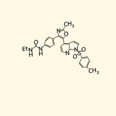 CCNC(=O)Nc1ccc(-c2nc(C)oc2-c2ccnc3c2ccn3S(=O)(=O)c2ccc(C)cc2)cc1